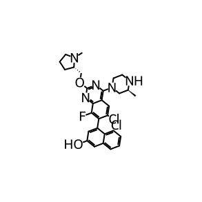 C[C@H]1CN(c2nc(OC[C@@H]3CCCN3C)nc3c(F)c(-c4cc(O)cc5cccc(Cl)c45)c(Cl)cc23)CCN1